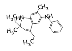 CCC1=CC(C)(CC)Nc2cc(C)c(Nc3ccccc3)cc21